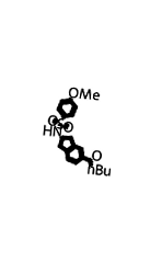 C[CH]CCC(=O)c1ccc2c(c1)CC(NS(=O)(=O)c1ccc(OC)cc1)C2